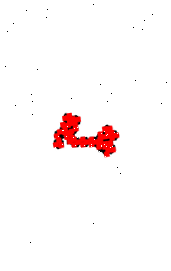 CC1(C)c2ccccc2-c2cc(N(c3ccc(-c4ccc(-c5ccc6c(c5)-c5ccc(N(c7cccc(-c8ccccc8)c7)c7ccc8c(c7)C7(c9ccccc9-c9ccccc97)c7ccccc7-8)cc5C6(C)C)cc4)cc3)c3ccc4c(c3)C3(c5ccccc5-c5ccccc53)c3ccccc3-4)ccc21